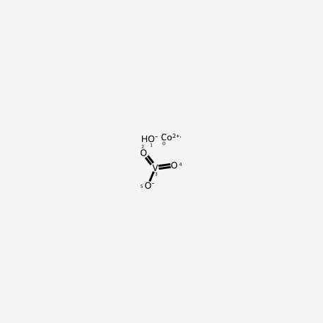 [Co+2].[OH-].[O]=[V](=[O])[O-]